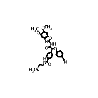 COCCNC(=O)c1ccc(C(Oc2ccc(C#N)cc2)C(=O)Nc2nc3cc(OC)c(OC)cc3o2)cc1